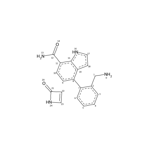 NCc1ccccc1-c1ccc(C(N)=O)c2[nH]ccc12.O=C1C=CN1